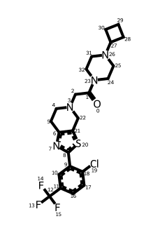 O=C(CN1CCc2nc(-c3cc(C(F)(F)F)ccc3Cl)sc2C1)N1CCN(C2CCC2)CC1